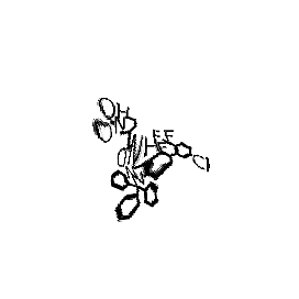 O=C(Nc1nn(C(c2ccccc2)(c2ccccc2)c2ccccc2)c2ccc(-c3cc(Cl)ccc3C(F)(F)F)cc12)C1CCCN(C(=O)O)C1